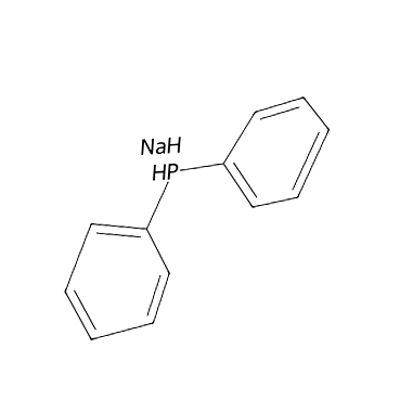 [NaH].c1ccc(Pc2ccccc2)cc1